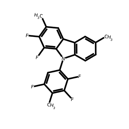 Cc1ccc2c(c1)c1cc(C)c(F)c(F)c1n2-c1cc(F)c(C)c(F)c1F